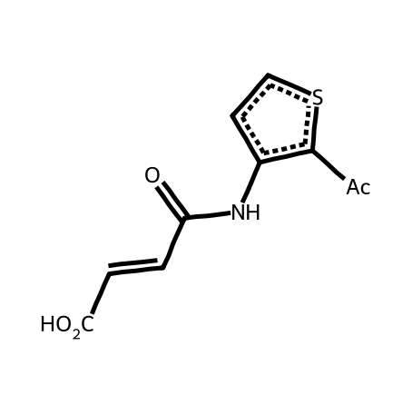 CC(=O)c1sccc1NC(=O)/C=C/C(=O)O